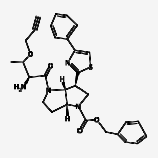 C#CCOC(C)[C@H](N)C(=O)N1CC[C@@H]2[C@H]1[C@@H](c1nc(-c3ccccc3)cs1)CN2C(=O)OCc1ccccc1